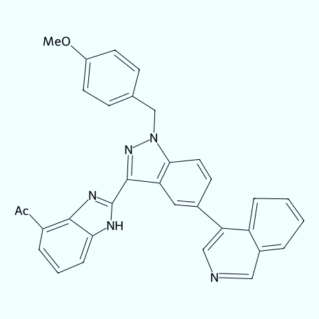 COc1ccc(Cn2nc(-c3nc4c(C(C)=O)cccc4[nH]3)c3cc(-c4cncc5ccccc45)ccc32)cc1